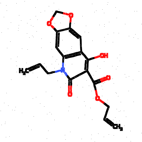 C=CCOC(=O)c1c(O)c2cc3c(cc2n(CC=C)c1=O)OCO3